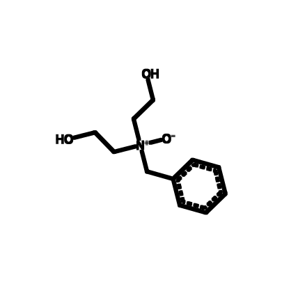 [O-][N+](CCO)(CCO)Cc1ccccc1